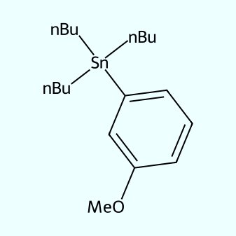 CCC[CH2][Sn]([CH2]CCC)([CH2]CCC)[c]1cccc(OC)c1